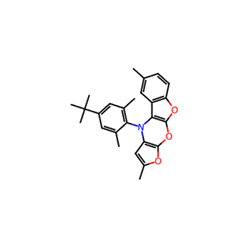 Cc1ccc2oc3c(c2c1)N(c1c(C)cc(C(C)(C)C)cc1C)c1cc(C)oc1O3